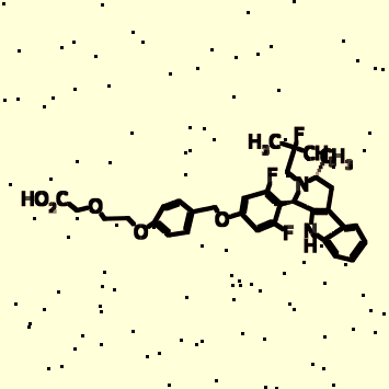 C[C@@H]1Cc2c([nH]c3ccccc23)[C@@H](c2c(F)cc(OCc3ccc(OCCOCC(=O)O)cc3)cc2F)N1CC(C)(C)F